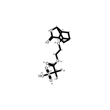 O=C1OC2C3CC(CC13)C2OCCOC(=O)C(F)(F)S(=O)(=O)O